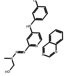 CN(CO)N=Nc1cc(Nc2cccc(Cl)c2)ccn1.c1ccc2ncncc2c1